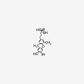 Cc1cc(CCCP(=O)(O)O)cc(C)c1Oc1ccc(O)c(C(C)C)c1